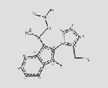 CCc1nocc1-c1c(C(O)CN(C)C)c2ccccc2n1C